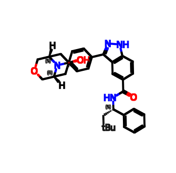 CC(C)(C)C[C@H](NC(=O)c1ccc2[nH]nc(-c3ccc(N4[C@@H]5COC[C@H]4C[C@H](O)C5)cc3)c2c1)c1ccccc1